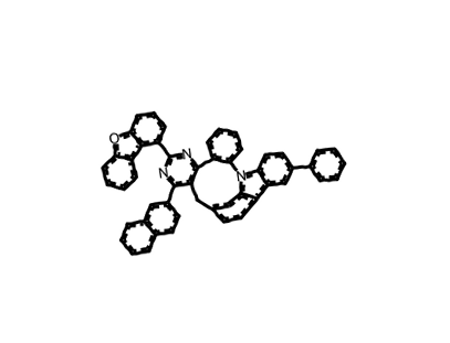 c1ccc(-c2ccc3c(c2)c2ccc4cc2n3-c2ccccc2-c2nc(-c3cccc5oc6ccccc6c35)nc(-c3ccc5ccccc5c3)c2C4)cc1